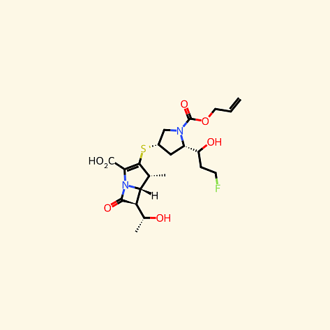 C=CCOC(=O)N1C[C@@H](SC2=C(C(=O)O)N3C(=O)[C@H]([C@@H](C)O)[C@H]3[C@H]2C)C[C@H]1C(O)CCF